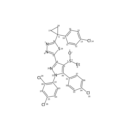 CC[S+]([O-])c1c(-c2nnc(C3(c4ccc(Cl)cc4)CC3)s2)nn(-c2ccc(Cl)cc2Cl)c1-c1ccc(Cl)cc1